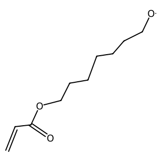 C=CC(=O)OCCCCCCC[O]